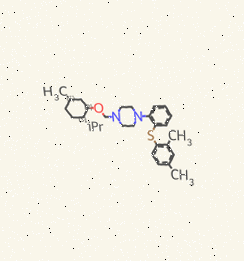 Cc1ccc(Sc2ccccc2N2CCN(CO[C@@H]3C[C@@H](C)CC[C@H]3C(C)C)CC2)c(C)c1